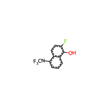 Oc1c(F)ccc2c(NC(F)(F)F)cccc12